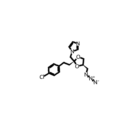 [N-]=[N+]=NC[C@@H]1CO[C@@](CCc2ccc(Cl)cc2)(Cn2ccnc2)O1